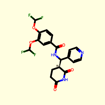 O=C1CC[C@@H](C(NC(=O)c2ccc(OC(F)F)c(OC(F)F)c2)c2ccncc2)C(=O)N1